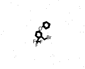 FC(F)(F)c1ccc(Oc2ccccc2)cc1CBr